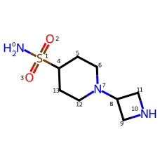 NS(=O)(=O)C1CCN(C2CNC2)CC1